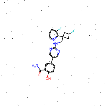 NC(=O)c1cc(-c2cnc(NCC3(c4ncccc4F)CC(F)C3)nc2)ccc1O